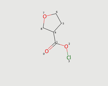 O=C(OCl)C1CCOC1